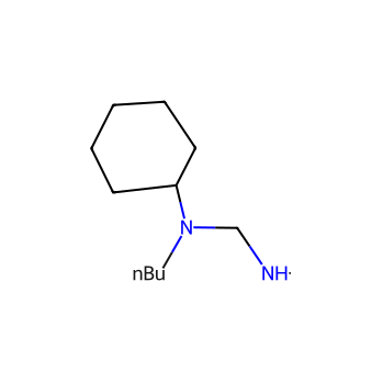 CCCCN(C[NH])C1CCCCC1